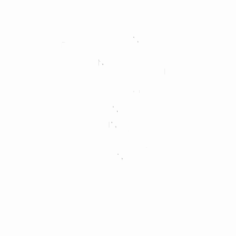 Cc1onc(-c2ccc(F)cn2)c1COc1cc(C(=O)NCCO)[nH]n1